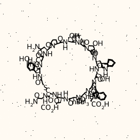 CCCC[C@H]1C(=O)N(C)[C@@H](CCCC)C(=O)N[C@@H](CCC(=O)O)C(=O)N[C@H](C(=O)NCC(N)=O)CSCC(=O)N[C@@H](Cc2ccc(O)cc2)C(=O)N(C)[C@@H](C)C(=O)N[C@@H](CC(N)=O)C(=O)N2CCCC2C(=O)N[C@@H](CO)C(=O)N[C@@H](CC(C)C)C(=O)N2C[C@H](O)C[C@H]2C(=O)N[C@@H](Cc2c[nH]c3ccccc23)C(=O)N[C@@H](CO)C(=O)N[C@@H](Cc2cn(CC(=O)O)c3ccccc23)C(=O)N1C